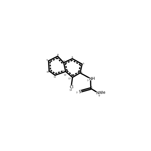 CNC(=S)Nc1ccc2ccccc2c1Cl